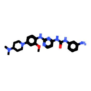 COc1cc(N2CCC(N(C)C)CC2)ccc1Nc1nccc(NC(=O)Nc2cccc(N)c2)n1